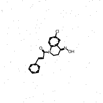 O=C(C=Cc1ccccc1)N1CCC(=NO)c2cc(Cl)ccc21